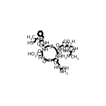 C[C@H](CS)NC(=O)[C@H](Cc1ccccc1)NC(=O)[C@@H]1CSSC[C@H](NC(=O)[C@H](CC(=O)O)NC(=O)N(CS)NC(=O)[C@H](C)N)C(=O)N[C@@H](CCCNC(=N)N)C(=O)NCC(=O)N[C@@H](CC(=O)O)C(=O)N1